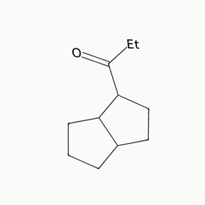 CCC(=O)C1CCC2CCCC21